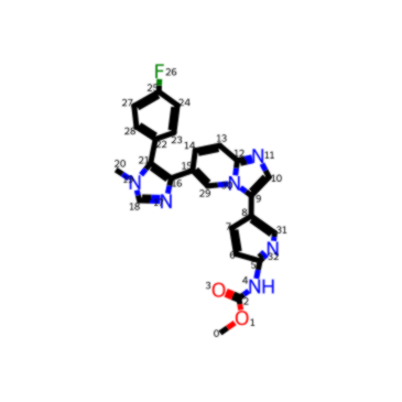 COC(=O)Nc1ccc(-c2cnc3ccc(-c4ncn(C)c4-c4ccc(F)cc4)cn23)cn1